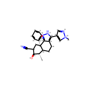 C[C@@H]1C(=O)C(C#N)C[C@@]2(c3ccccc3)c3n[nH]c(-c4cnn(C)c4)c3CCC12